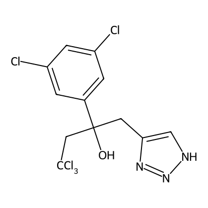 OC(Cc1c[nH]nn1)(CC(Cl)(Cl)Cl)c1cc(Cl)cc(Cl)c1